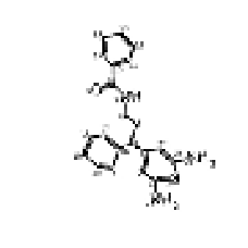 Nc1cc(C(CCNC(=O)c2ccccc2)c2ccccc2)cc(N)n1